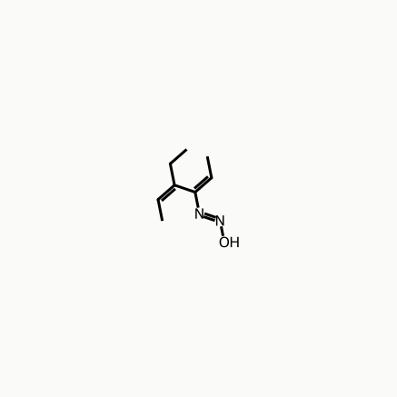 C/C=C(CC)\C(=C/C)N=NO